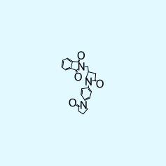 O=C1c2ccccc2C(=O)N1CC1CC(=O)N(c2ccc(N3CCCC3=O)cc2)C1